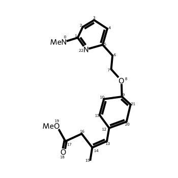 CNc1cccc(CCOc2ccc(C=C(C)CC(=O)OC)cc2)n1